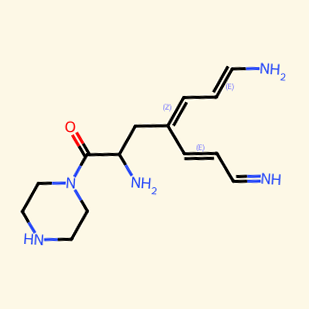 N=C/C=C/C(=C\C=C\N)CC(N)C(=O)N1CCNCC1